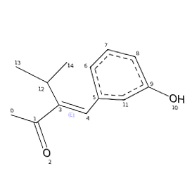 CC(=O)/C(=C/c1cccc(O)c1)C(C)C